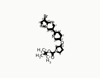 CC(C)(C)OC(=O)N1CCC(Oc2ccc(-c3cnc4c(Br)cnn4c3)nc2)C1